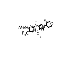 CNc1nc(Nc2cn(C3CCOC[C@@H]3F)nc2C)ncc1C(F)(F)F